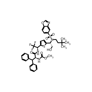 COC(=O)N[C@H](C(=O)N[C@H](c1ccc([C@@H](CO)N(CCC(C)(C)C)S(=O)(=O)c2ccc3ocnc3c2)s1)C(F)(F)F)C(c1ccccc1)c1ccccc1